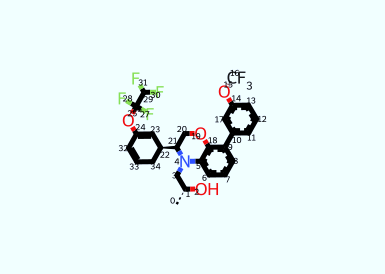 C[C@@H](O)CN1c2cccc(-c3cccc(OC(F)(F)F)c3)c2OCC1[C@@H]1C=C(OC(F)(F)C(F)F)C=CC1